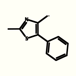 [CH2]c1nc(C)sc1-c1ccccc1